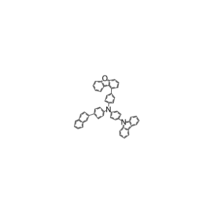 c1ccc2cc(-c3ccc(N(c4ccc(-c5cccc6oc7ccccc7c56)cc4)c4ccc(-n5c6ccccc6c6ccccc65)cc4)cc3)ccc2c1